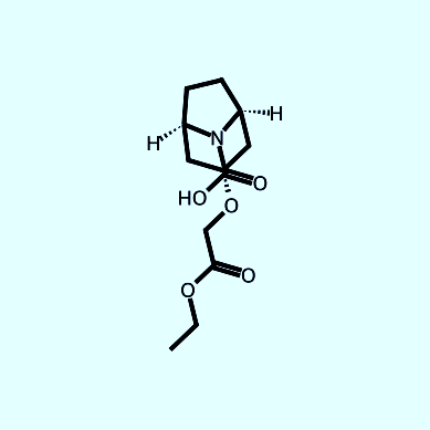 CCOC(=O)CO[C@@H]1C[C@H]2CC[C@@H](C1)N2C(=O)O